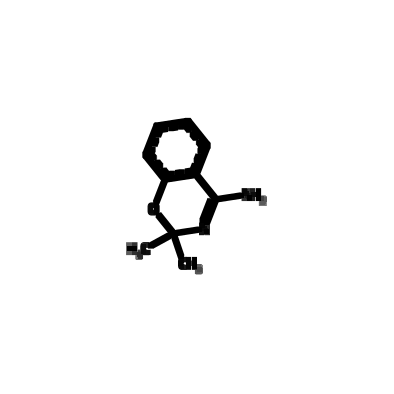 CC1(C)N=C(N)c2ccccc2O1